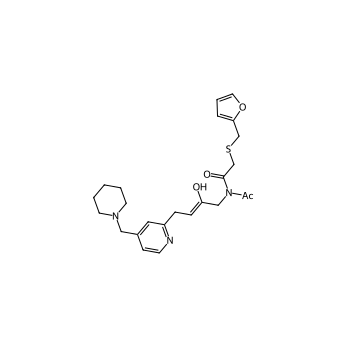 CC(=O)N(C/C(O)=C/Cc1cc(CN2CCCCC2)ccn1)C(=O)CSCc1ccco1